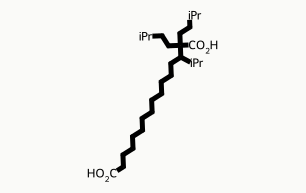 CC(C)CCC(CCC(C)C)(C(=O)O)C(CCCCCCCCCCCCC(=O)O)C(C)C